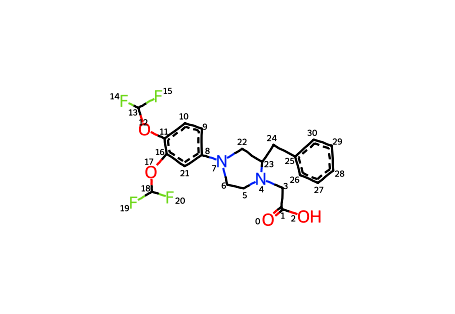 O=C(O)CN1CCN(c2ccc(OC(F)F)c(OC(F)F)c2)CC1Cc1ccccc1